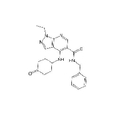 CCn1ncc2c(NC3CCC(=O)CC3)c(C(=O)NCc3ccccc3)cnc21